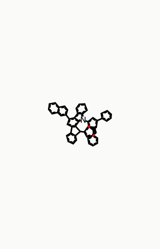 c1ccc(-c2cc(-c3ccccc3)cc(-n3c4ccccc4c4c(-c5ccc6ccccc6c5)cc5c(c43)C(c3ccccc3)c3ccccc3-5)c2)cc1